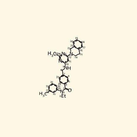 CCN(C(=O)c1ccc(CNc2cc(N3CCc4ccccc4C3)nc(C)n2)cc1)c1cccc(C)c1